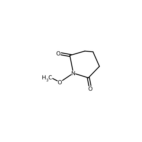 CON1C(=O)CCCC1=O